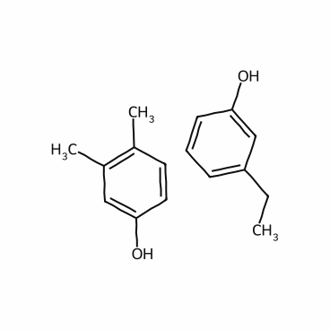 CCc1cccc(O)c1.Cc1ccc(O)cc1C